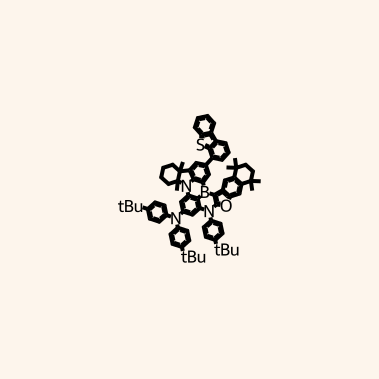 CC(C)(C)c1ccc(N(c2ccc(C(C)(C)C)cc2)c2cc3c4c(c2)N2c5c(cc(-c6cccc7c6sc6ccccc67)cc5C5(C)CCCCC25C)B4c2c(oc4cc5c(cc24)C(C)(C)CCC5(C)C)N3c2ccc(C(C)(C)C)cc2)cc1